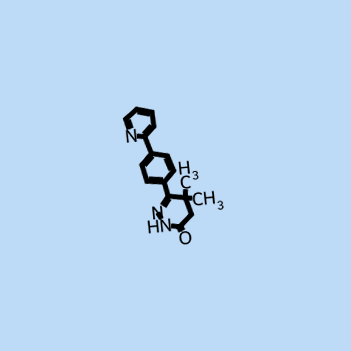 CC1(C)CC(=O)NN=C1c1ccc(-c2ccccn2)cc1